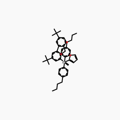 [CH2]=[Zr]([C]1=CC=CC1)([c]1ccc(CCCC)cc1)([c]1ccc(CCCC)cc1)[c]1cc(C(C)(C)C)cc2c1Cc1ccc(C(C)(C)C)cc1-2